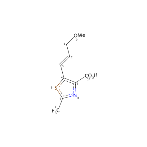 COC/C=C/c1sc(C(F)(F)F)nc1C(=O)O